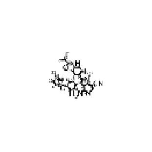 C=C(F)C(=O)Nc1ccc(-c2c(-c3ccc(Oc4ccn(C)n4)cc3)c3c(N)ncc(C#N)c3n2C)c(F)c1